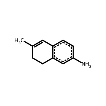 CC1=Cc2ccc(N)cc2CC1